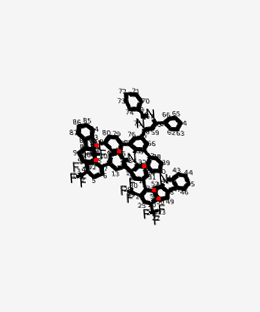 FC(F)(F)c1ccc(-c2ccc3c(c2)c2cc(-c4ccc(C(F)(F)F)cc4C(F)(F)F)ccc2n3-c2c(-c3ccc(-n4c5ccccc5c5ccccc54)cc3)cc(-c3cc(-c4ccccc4)nc(-c4ccccc4)n3)cc2-c2ccc(-n3c4ccccc4c4ccccc43)cc2)c(C(F)(F)F)c1